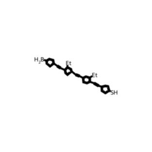 Bc1ccc(C#Cc2ccc(C#Cc3ccc(C#Cc4ccc(S)cc4)c(CC)c3)cc2CC)cc1